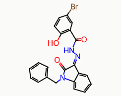 O=C(N/N=C1\C(=O)N(Cc2ccccc2)c2ccccc21)c1cc(Br)ccc1O